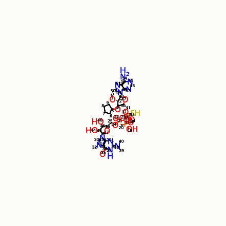 CO[C@H]1C(OC2CCCC2)[C@@H](COP(=O)(S)OP(=O)(O)CP(=O)(O)OC[C@H]2O[C@@H](n3c[n+](C)c4c(=O)[nH]c(N(C)C)nc43)[C@@H](O)C2O)O[C@H]1n1cnc2c(N)ncnc21